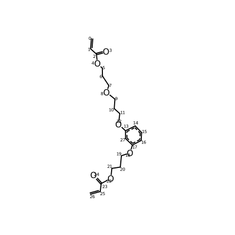 C=CC(=O)OCCCOCCCOc1cccc(OCCCOC(=O)C=C)c1